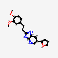 COc1ccc(CCc2nc3ncc(-c4ccco4)cc3[nH]2)cc1OC